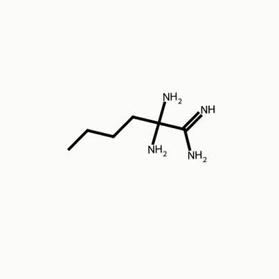 CCCCC(N)(N)C(=N)N